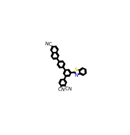 N#Cc1ccc2cc(-c3ccc(-c4cc(-c5ccc(C#N)c(C#N)c5)cc(-c5nc6ccccc6s5)c4)cc3)ccc2c1